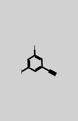 C#Cc1cc(I)cc(I)c1